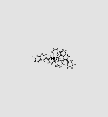 OC1(c2ccccc2)c2c(-c3ccc(-c4ccc5ccccc5c4)cc3)cccc2-n2c(-c3ccccc3)nc3cccc1c32